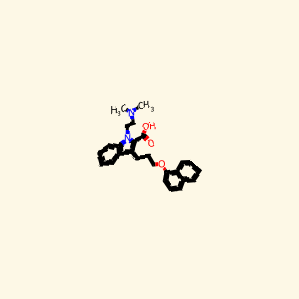 CN(C)CCn1c(C(=O)O)c(CCCOc2cccc3ccccc23)c2ccccc21